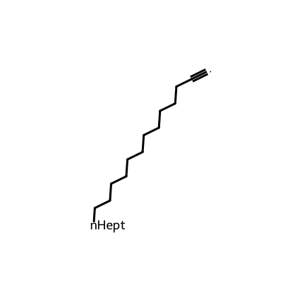 [C]#CCCCCCCCCCCCCCCCCCC